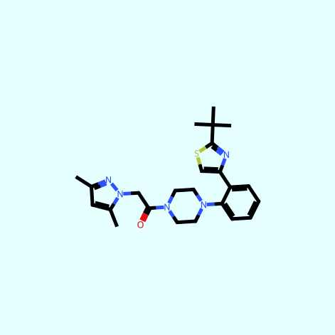 Cc1cc(C)n(CC(=O)N2CCN(c3ccccc3-c3csc(C(C)(C)C)n3)CC2)n1